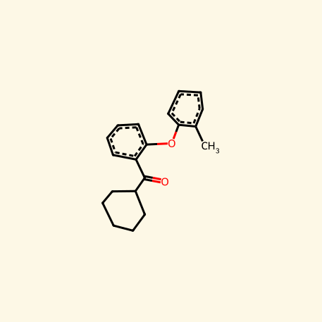 Cc1ccccc1Oc1ccccc1C(=O)C1CCCCC1